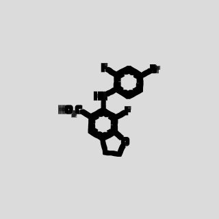 O=C(O)c1cc2c(c(F)c1Nc1ccc(Br)cc1F)OCC2